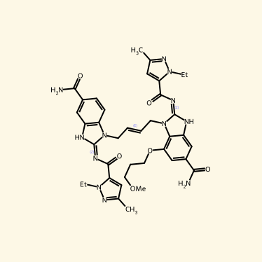 CCn1nc(C)cc1C(=O)/N=c1/[nH]c2cc(C(N)=O)ccc2n1C/C=C/Cn1/c(=N\C(=O)c2cc(C)nn2CC)[nH]c2cc(C(N)=O)cc(OCCCOC)c21